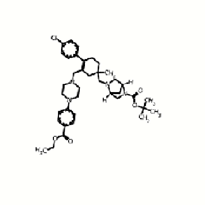 CCOC(=O)c1ccc(N2CCN(CC3=C(c4ccc(Cl)cc4)CCC(C)(CN4C[C@H]5C[C@@H]4CN5C(=O)OC(C)(C)C)C3)CC2)cc1